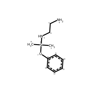 C[Si](C)(NCCN)Oc1ccccc1